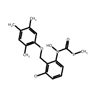 CSC(=O)N(O)c1cccc(Cl)c1COc1cc(C)c(C)cc1C